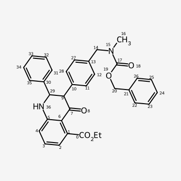 CCOC(=O)c1cccc2c1C(=O)C(c1ccc(CN(C)C(=O)OCc3ccccc3)cc1)C(c1ccccc1)N2